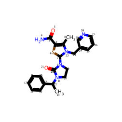 CC1=C(C(N)=O)SC(N2CCN(C(C)c3ccccc3)C2=O)N1Cc1cccnc1